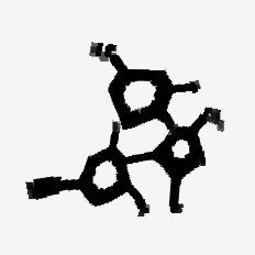 Cc1ccc(-n2c(C)nc(Br)c2-c2c(F)cc(C#N)cc2F)c(F)c1